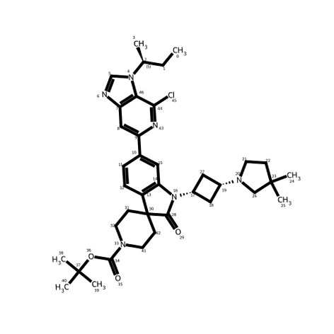 CC[C@H](C)n1cnc2cc(-c3ccc4c(c3)N([C@H]3C[C@@H](N5CCC(C)(C)C5)C3)C(=O)C43CCN(C(=O)OC(C)(C)C)CC3)nc(Cl)c21